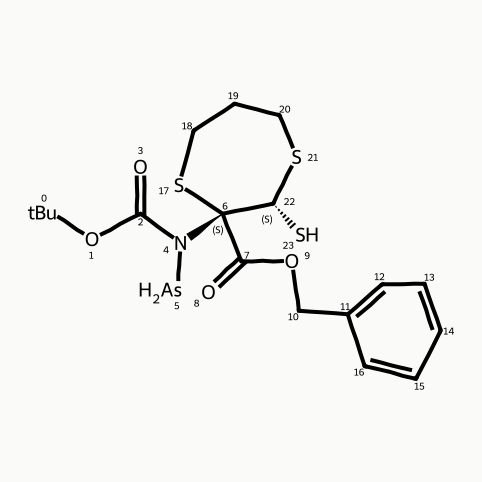 CC(C)(C)OC(=O)N([AsH2])[C@@]1(C(=O)OCc2ccccc2)SCCCS[C@@H]1S